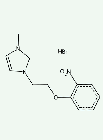 Br.CN1C=CN(CCOc2ccccc2[N+](=O)[O-])C1